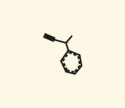 C#C[C](C)c1ccccc1